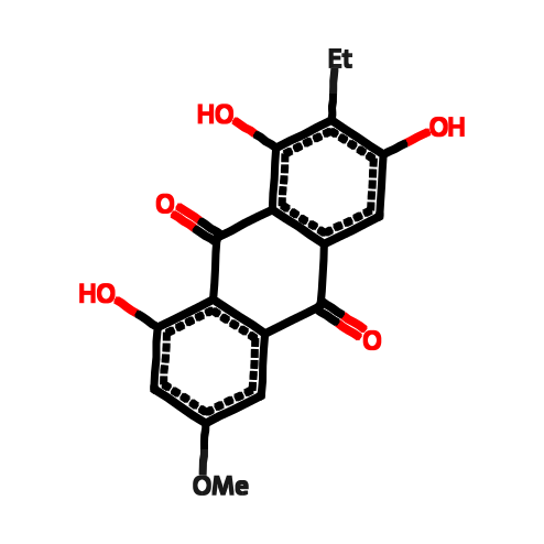 CCc1c(O)cc2c(c1O)C(=O)c1c(O)cc(OC)cc1C2=O